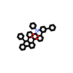 c1ccc(-c2ccc(N(c3ccccc3)c3ccc(-c4cccc5c4c(-c4ccccc4)c(-c4ccccc4)c4ccccc45)cc3)c(-c3ccccc3)c2)cc1